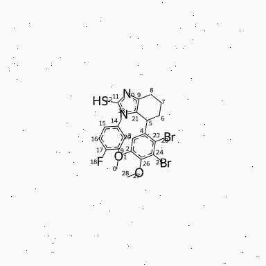 COc1cc(C2CCCc3nc(S)n(-c4ccc(F)cc4)c32)c(Br)c(Br)c1OC